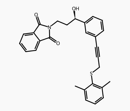 Cc1cccc(C)c1SCC#Cc1cccc([C@H](O)CCN2C(=O)c3ccccc3C2=O)c1